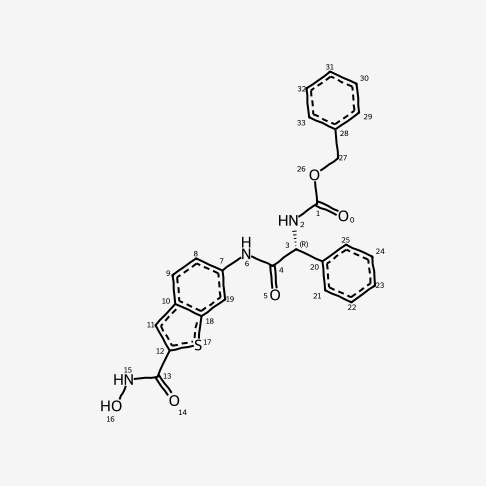 O=C(N[C@@H](C(=O)Nc1ccc2cc(C(=O)NO)sc2c1)c1ccccc1)OCc1ccccc1